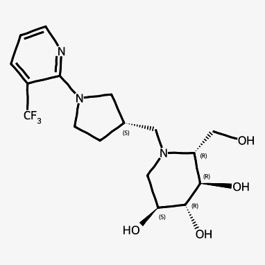 OC[C@@H]1[C@@H](O)[C@H](O)[C@@H](O)CN1C[C@@H]1CCN(c2ncccc2C(F)(F)F)C1